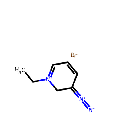 CC[N+]1=CC=CC(=[N+]=[N-])C1.[Br-]